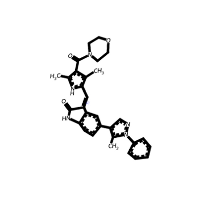 Cc1[nH]c(/C=C2\C(=O)Nc3ccc(-c4cnn(-c5ccccc5)c4C)cc32)c(C)c1C(=O)N1CCOCC1